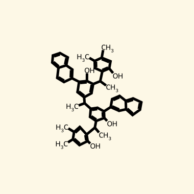 Cc1cc(O)c(C(C)c2cc(C(C)c3cc(-c4ccc5ccccc5c4)c(O)c(C(C)c4cc(C)c(C)cc4O)c3)cc(-c3ccc4ccccc4c3)c2O)cc1C